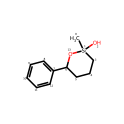 C[Si]1(O)CCCC(c2ccccc2)O1